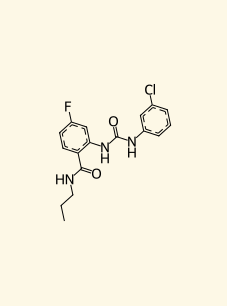 CCCNC(=O)c1ccc(F)cc1NC(=O)Nc1cccc(Cl)c1